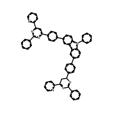 c1ccc(C2=NC(c3ccc(-c4ccc5c(c4)c4cc(-c6ccc(-c7cc(-c8ccccn8)nc(-c8ccccc8)n7)cc6)ccc4n5-c4ccccc4)cc3)CC(c3ccccn3)=N2)cc1